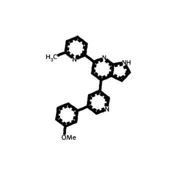 COc1cccc(-c2cncc(-c3cc(-c4cccc(C)n4)nc4[nH]ccc34)c2)c1